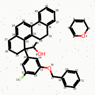 C1=CCOC=C1.CC(O)C1(c2cc(F)cc(OCc3ccccc3)c2)CC=Cc2ccc3c(c21)CCc1ccccc1-3